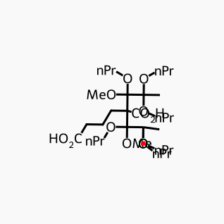 CCCOC(C)(OCCC)C(OC)(OCCC)C(CCCC(=O)O)(C(=O)O)C(OC)(OCCC)C(C)(OCCC)OCCC